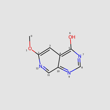 COc1cc2c(O)ncnc2cn1